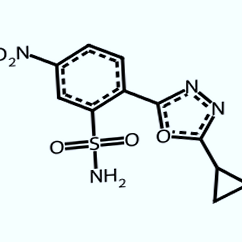 NS(=O)(=O)c1cc([N+](=O)[O-])ccc1-c1nnc(C2CC2)o1